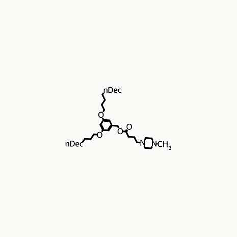 CCCCCCCCCCCCCCOc1cc(COC(=O)CCCN2CCN(C)CC2)cc(OCCCCCCCCCCCCC)c1